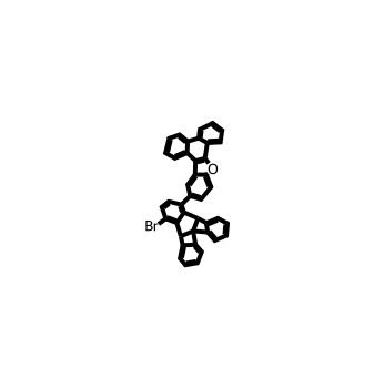 Brc1ccc(-c2ccc3oc4c5ccccc5c5ccccc5c4c3c2)c2c1C1c3ccccc3C13c1ccccc1C23